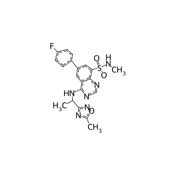 CNS(=O)(=O)c1cc(-c2ccc(F)cc2)cc2c(NC(C)c3noc(C)n3)ncnc12